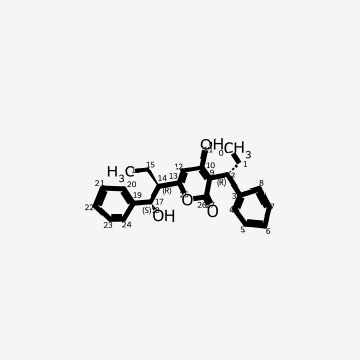 CC[C@H](c1ccccc1)c1c(O)cc([C@H](CC)[C@H](O)c2ccccc2)oc1=O